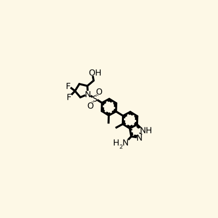 Cc1cc(S(=O)(=O)N2CC(F)(F)CC2CO)ccc1-c1ccc2[nH]nc(N)c2c1C